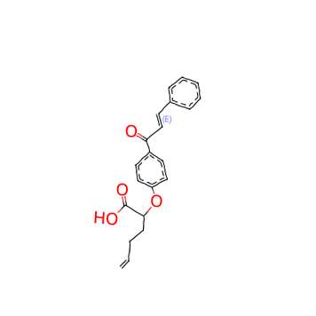 C=CCCC(Oc1ccc(C(=O)/C=C/c2ccccc2)cc1)C(=O)O